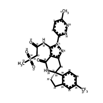 Cc1ccc(-n2nc3c(c2NC(=O)CS(C)(=O)=O)C(=O)N[C@@]2(CCc4cc(C(F)(F)F)ccc42)C3)nn1